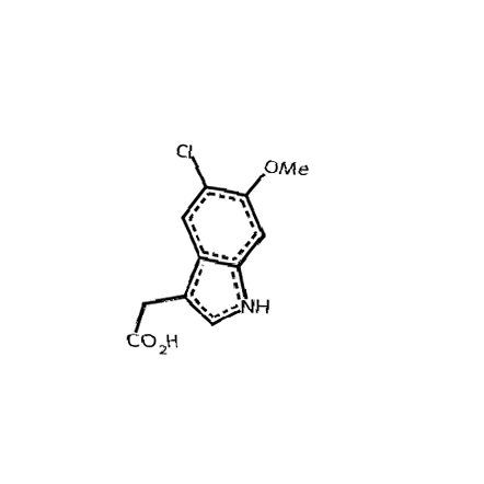 COc1cc2[nH]cc(CC(=O)O)c2cc1Cl